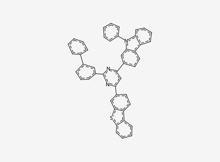 c1ccc(-c2cccc(-c3nc(-c4ccc5c(c4)sc4ccccc45)cc(-c4ccc5c6ccccc6n(-c6ccccc6)c5c4)n3)c2)cc1